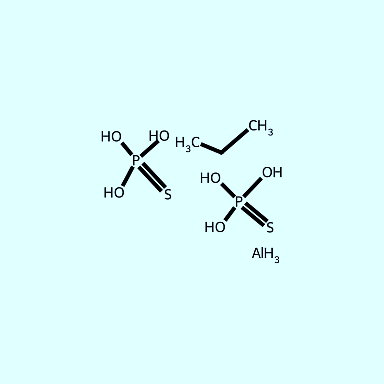 CCC.OP(O)(O)=S.OP(O)(O)=S.[AlH3]